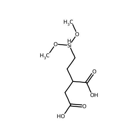 CO[SiH](CCC(CC(=O)O)C(=O)O)OC